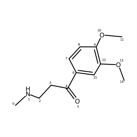 CNCCC(=O)c1ccc(OC)c(OC)c1